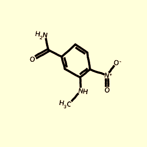 CNc1cc(C(N)=O)ccc1[N+](=O)[O-]